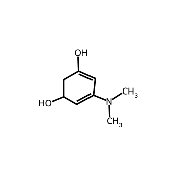 CN(C)C1=CC(O)CC(O)=C1